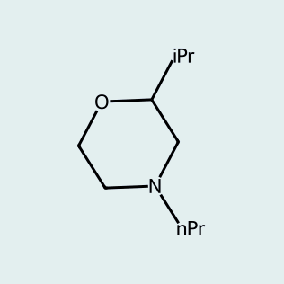 CCCN1CCOC(C(C)C)C1